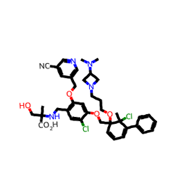 CN(C)C1CN(CCCOC2(COc3cc(OCc4cncc(C#N)c4)c(CNC(C)(CO)C(=O)O)cc3Cl)C=CC=C(c3ccccc3)C2(C)Cl)C1